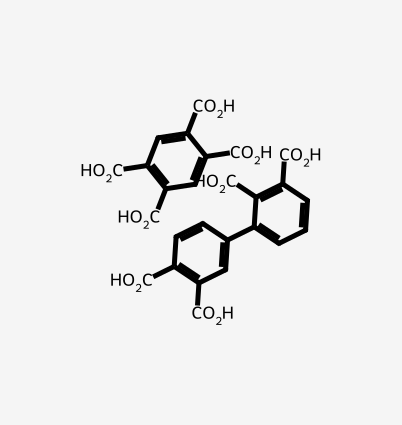 O=C(O)c1cc(C(=O)O)c(C(=O)O)cc1C(=O)O.O=C(O)c1ccc(-c2cccc(C(=O)O)c2C(=O)O)cc1C(=O)O